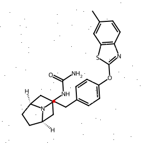 Cc1ccc2nc(Oc3ccc(CCN4[C@@H]5CC[C@H]4CC(NC(N)=O)C5)cc3)sc2c1